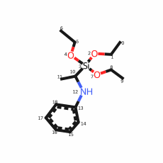 CCO[Si](OCC)(OCC)C(C)Nc1ccccc1